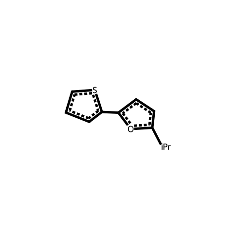 CC(C)c1ccc(-c2cccs2)o1